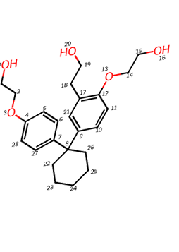 OCCOc1ccc(C2(c3ccc(OCCO)c(CCO)c3)CCCCC2)cc1